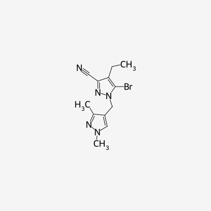 CCc1c(C#N)nn(Cc2cn(C)nc2C)c1Br